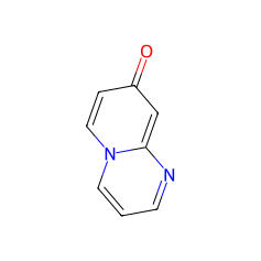 O=c1ccn2cccnc2c1